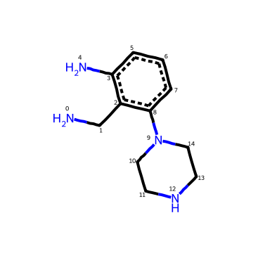 NCc1c(N)cccc1N1CCNCC1